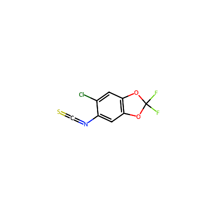 FC1(F)Oc2cc(Cl)c(N=C=S)cc2O1